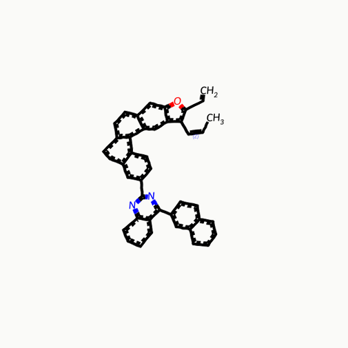 C=Cc1oc2cc3ccc4ccc5cc(-c6nc(-c7ccc8ccccc8c7)c7ccccc7n6)ccc5c4c3cc2c1/C=C\C